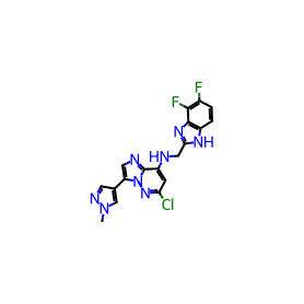 Cn1cc(-c2cnc3c(NCc4nc5c(F)c(F)ccc5[nH]4)cc(Cl)nn23)cn1